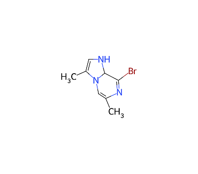 CC1=CN2C(C)=CNC2C(Br)=N1